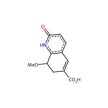 COC1CC(C(=O)O)=Cc2ccc(=O)[nH]c21